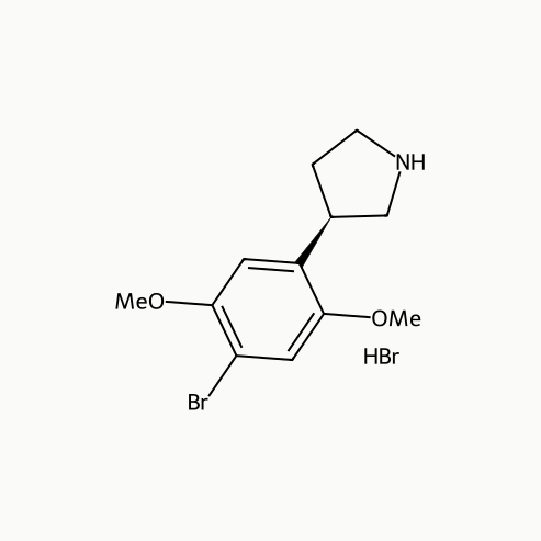 Br.COc1cc([C@H]2CCNC2)c(OC)cc1Br